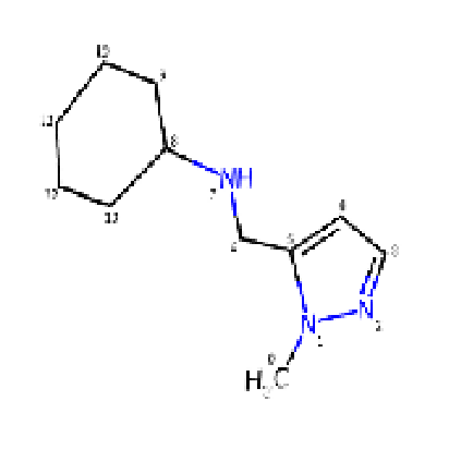 Cn1nccc1CNC1CCCCC1